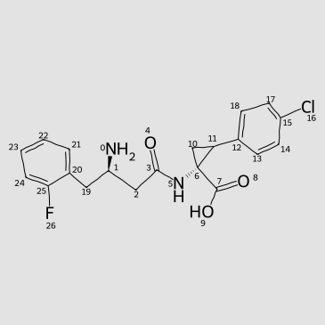 N[C@@H](CC(=O)N[C@]1(C(=O)O)CC1c1ccc(Cl)cc1)Cc1ccccc1F